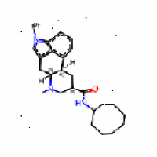 CC(C)n1cc2c3c(cccc31)[C@H]1C[C@@H](C(=O)NC3CCCCCCC3)CN(C)[C@@H]1C2